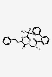 CCN(CNC(=O)C(CCc1ccccc1)NC(=O)C(C)(C)N)C(=O)c1ccccc1-c1ccccc1